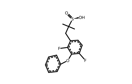 CC(C)(Cc1ccc(F)c(Oc2ccccc2)c1F)[S@@](=O)O